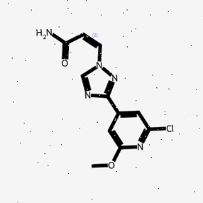 COc1cc(-c2ncn(/C=C\C(N)=O)n2)cc(Cl)n1